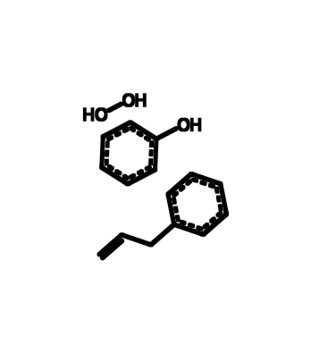 C=CCc1ccccc1.OO.Oc1ccccc1